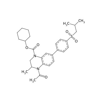 CC(=O)N1c2ccc(-c3ccc(S(=O)(=O)CC(C)C)cc3)cc2N(C(=O)OC2CCCCC2)CC1C